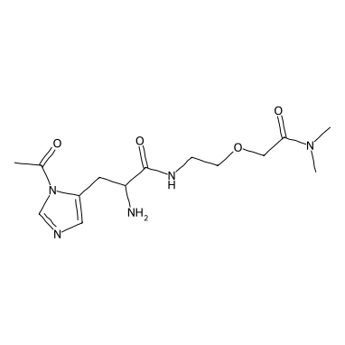 CC(=O)n1cncc1CC(N)C(=O)NCCOCC(=O)N(C)C